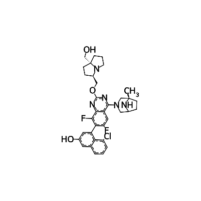 C[C@]12CCC(CN(c3nc(OC[C@H]4CC[C@@]5(CO)CCCN45)nc4c(F)c(-c5cc(O)cc6cccc(Cl)c56)c(F)cc34)C1)N2